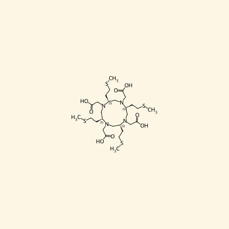 CSCC[C@H]1CN(CC(=O)O)[C@@H](CCSC)CN(CC(=O)O)[C@@H](CCSC)CN(CC(=O)O)[C@@H](CCSC)CN1CC(=O)O